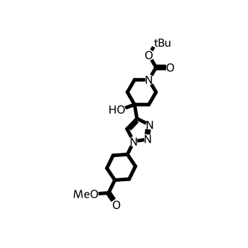 COC(=O)C1CCC(n2cc(C3(O)CCN(C(=O)OC(C)(C)C)CC3)nn2)CC1